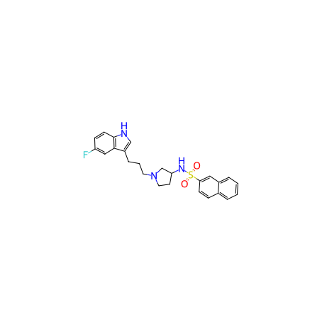 O=S(=O)(NC1CCN(CCCc2c[nH]c3ccc(F)cc23)C1)c1ccc2ccccc2c1